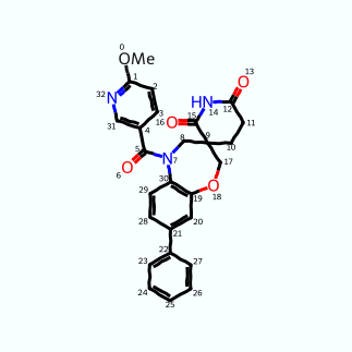 COc1ccc(C(=O)N2CC3(CCC(=O)NC3=O)COc3cc(-c4ccccc4)ccc32)cn1